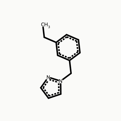 CCc1cccc(Cn2cccn2)c1